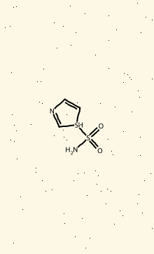 NS(=O)(=O)[SH]1C=CN=C1